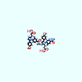 CNC(=O)c1ccc(-n2c(CCC(=O)O)ccc2-c2ccc(OC)cc2)c(C)c1.COc1ccc(-c2ccc(CCC(=O)O)n2-c2ccc(C(=O)N(C)C)cc2C)cc1